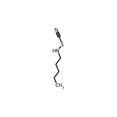 CCCCCNSC#N